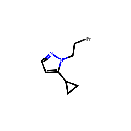 CC(C)CCn1n[c]cc1C1CC1